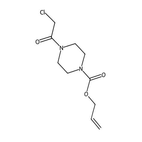 C=CCOC(=O)N1CCN(C(=O)CCl)CC1